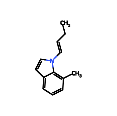 CCC=Cn1ccc2cccc(C)c21